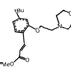 COC(=O)C=Cc1ccc(C(C)(C)C)cc1OCCN1CCOCC1